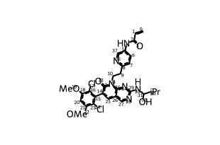 C=CC(=O)Nc1ccc(CCn2c(=O)c(-c3c(Cl)c(OC)cc(OC)c3Cl)cc3cnc(NC(O)C(C)C)nc32)nc1